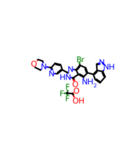 Nc1c(-c2cccc3[nH]ncc23)cc(Br)c2nc(-c3ccc(N4CCOCC4)nc3)[nH]c(=O)c12.O=C(O)C(F)(F)F